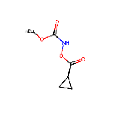 CCCCOC(=O)NOC(=O)C1CC1